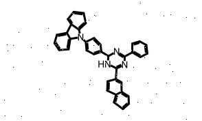 c1ccc(C2=NC(c3ccc(-n4c5ccccc5c5ccccc54)cc3)NC(c3ccc4ccccc4c3)=N2)cc1